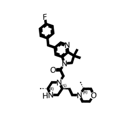 C[C@@H]1CN(CC(=O)N2CC(C)(C)c3ncc(Cc4ccc(F)cc4)cc32)[C@@H](CCN2CCOC[C@H]2C)CN1